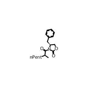 CCCCCC(C)C(=O)N1C(=O)OC[C@@H]1Cc1ccccc1